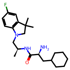 C[C@@H](CN1CC(C)(C)c2cc(F)ccc21)NC(=O)[C@@H](N)CC1CCCCC1